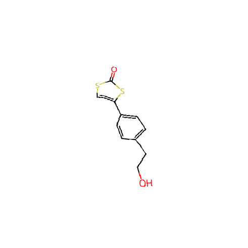 O=c1scc(-c2ccc(CCO)cc2)s1